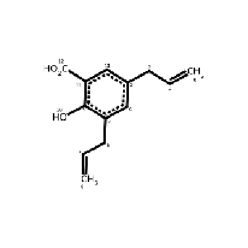 C=CCc1cc(CC=C)c(O)c(C(=O)O)c1